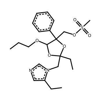 CCCOC1OC(CC)(Cn2cncc2CC)OC1(COS(C)(=O)=O)c1ccccc1